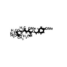 C=N/C(OCc1ccc(OC)cc1)=C(\C=C(/C)B1OC(C)(C)C(C)(C)O1)OC